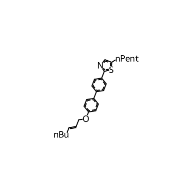 CCCC/C=C/COc1ccc(-c2ccc(-c3ncc(CCCCC)s3)cc2)cc1